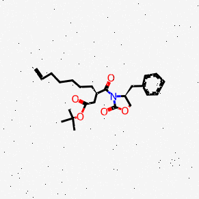 C=CCCCCC[C@H](CC(=O)OC(C)(C)C)C(=O)N1C(=O)OC[C@@H]1Cc1ccccc1